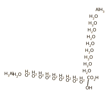 O.O.O.O.O.O.O.O.O.O.O.O.O.O.O.O.O.O.O.O=C(O)O.[AlH3].[AlH3]